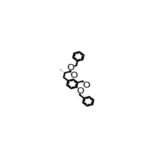 C[C@@H](Cc1ccc(OCc2ccccc2)c(C=O)c1)C(=O)OCc1ccccc1